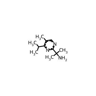 Cc1cnc(C(C)(C)N)nc1C(C)C